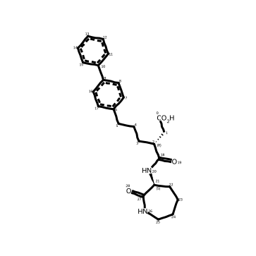 O=C(O)C[C@@H](CCCc1ccc(-c2ccccc2)cc1)C(=O)N[C@H]1CCCCNC1=O